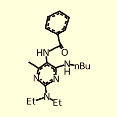 CCCCNc1nc(N(CC)CC)nc(C)c1NC(=O)c1ccccc1